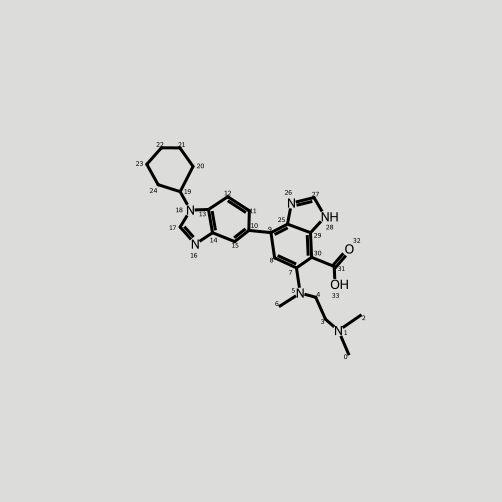 CN(C)CCN(C)c1cc(-c2ccc3c(c2)ncn3C2CCCCC2)c2nc[nH]c2c1C(=O)O